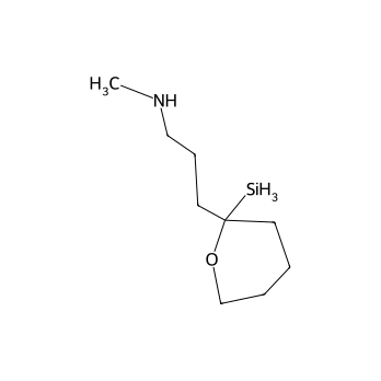 CNCCCC1([SiH3])CCCCO1